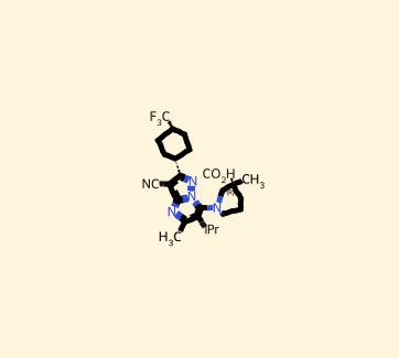 Cc1nc2c(C#N)c([C@H]3CC[C@H](C(F)(F)F)CC3)nn2c(N2CCC[C@@](C)(C(=O)O)C2)c1C(C)C